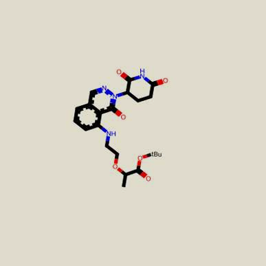 CC(OCCNc1cccc2cnn(C3CCC(=O)NC3=O)c(=O)c12)C(=O)OC(C)(C)C